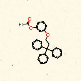 CCC(=O)Oc1cccc(OCCC(c2ccccc2)(c2ccccc2)c2ccccc2)c1